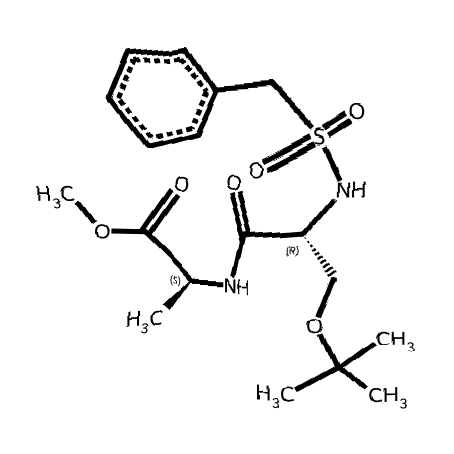 COC(=O)[C@H](C)NC(=O)[C@@H](COC(C)(C)C)NS(=O)(=O)Cc1ccccc1